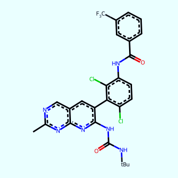 Cc1ncc2cc(-c3c(Cl)ccc(NC(=O)c4cccc(C(F)(F)F)c4)c3Cl)c(NC(=O)NC(C)(C)C)nc2n1